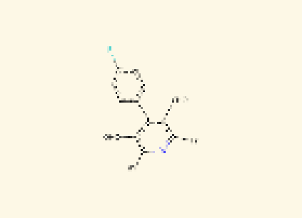 CC(C)c1nc(C(C)C)c(C=O)c(-c2ccc(F)cc2)c1C=O